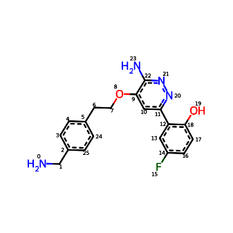 NCc1ccc(CCOc2cc(-c3cc(F)ccc3O)nnc2N)cc1